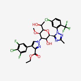 CCOC(=O)c1nn(C2C(O)[C@H](c3nc(C)nn3-c3cc(Cl)ccc3C(F)(F)F)OC(C(C)O)[C@@H]2OC)cc1-c1cc(F)c(Cl)c(F)c1